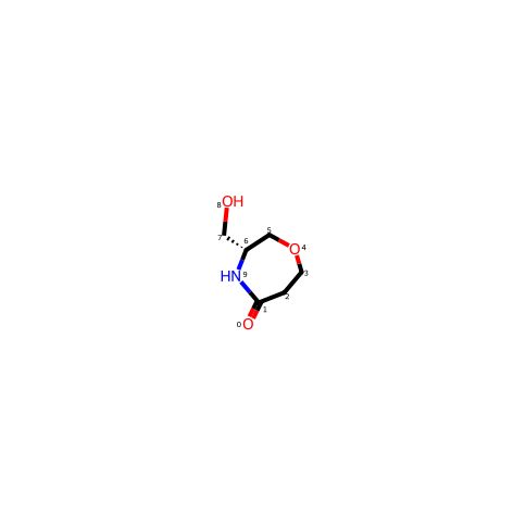 O=C1CCOC[C@@H](CO)N1